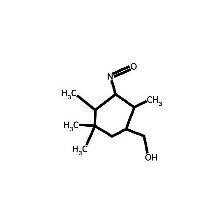 CC1C(CO)CC(C)(C)C(C)C1N=O